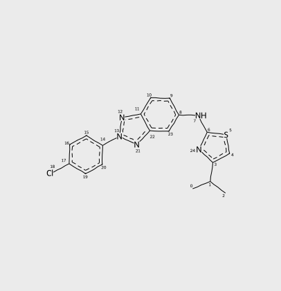 CC(C)c1csc(Nc2ccc3nn(-c4ccc(Cl)cc4)nc3c2)n1